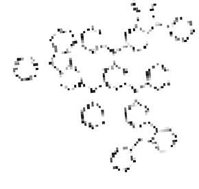 c1ccc(N(c2ccc3c(c2)c2ccccc2n3-c2ccccc2)c2cc(N(c3ccccc3)c3ccc4c(c3)c3ccccc3n4-c3ccccc3)nc(N(c3ccccc3)c3ccc4c(c3)c3ccccc3n4-c3ccccc3)n2)cc1